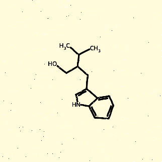 CC(C)C(CO)Cc1c[nH]c2ccccc12